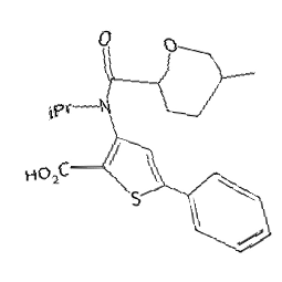 CC1CCC(C(=O)N(c2cc(-c3ccccc3)sc2C(=O)O)C(C)C)OC1